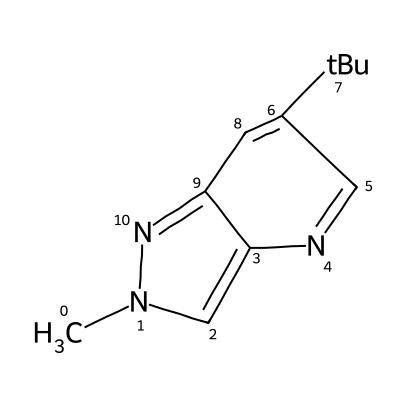 Cn1cc2ncc(C(C)(C)C)cc2n1